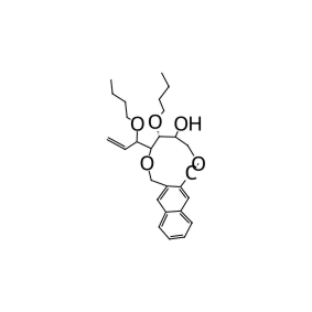 C=CC(OCCCC)C1OCc2cc3ccccc3cc2COCC(O)[C@H]1OCCCC